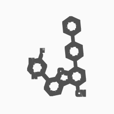 N#Cc1ccc(-c2ccc(-c3ccccc3)cc2)c2oc3c(-c4cc(F)ncn4)cccc3c12